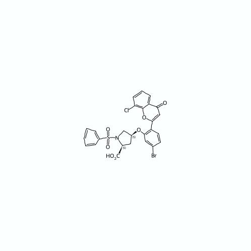 O=C(O)[C@@H]1C[C@H](Oc2cc(Br)ccc2-c2cc(=O)c3cccc(Cl)c3o2)CN1S(=O)(=O)c1ccccc1